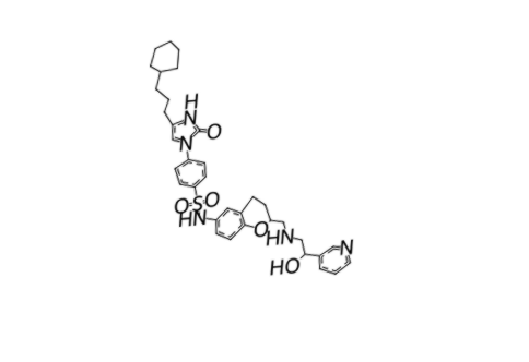 O=c1[nH]c(CCCC2CCCCC2)cn1-c1ccc(S(=O)(=O)Nc2ccc3c(c2)CCC(CNCC(O)c2cccnc2)O3)cc1